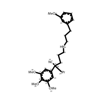 COc1cccc(CCCNCCC[C@@](C#N)(c2cc(OC)c(OC)c(OC)c2)C(C)C)c1